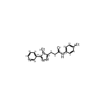 CCc1ccc(NC(=O)CCc2nnc(-c3cccnc3)n2CC)cc1